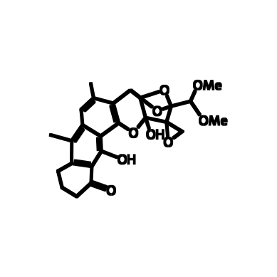 COC(OC)C12OC3c4c(C)cc5c(C)c6c(c(O)c5c4OC(O)(C3O1)C21CO1)C(=O)CCC6